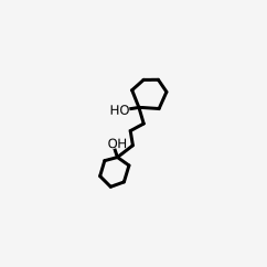 OC1(CCCC2(O)CCCCC2)CCCCC1